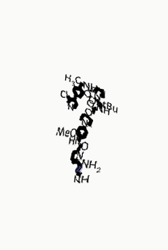 COc1cc(N2CCC(OCC(=O)N[C@H](C(=O)N3CCC[C@H]3C(=O)N[C@@H](C)c3ccc(-c4ccncc4Cl)cc3)C(C)(C)C)CC2)ccc1NC(=O)c1cccc(/C(N)=C/C=N)n1